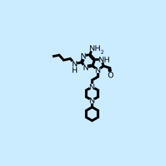 CCCCNc1nc(N)c2c(n1)N(CCN1CCN(C3CCCCC3)CC1)C(C=O)N2